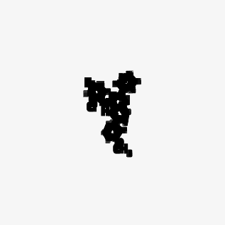 COc1cccc(-c2ccc3nc(-c4cccnc4)nc(Nc4ccc(F)cc4Cl)c3c2)c1